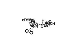 CCCCCCCCCCCC(=O)OC[C@@](CSCCC(=O)NCCC(CC)(CC)C(F)(F)P(=O)(O)O)(NC(=O)OCC1c2ccccc2-c2ccccc21)OC(=O)CCCCCCCCCCC